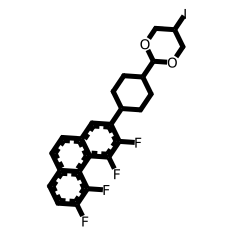 Fc1ccc2ccc3cc(C4CCC(C5OCC(I)CO5)CC4)c(F)c(F)c3c2c1F